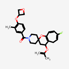 C=C(C)OC1CC2(CCN(C(=O)c3ccc(OC4COC4)c(C)c3)CC2)OC2=C1CC=C(F)C=C2